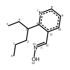 CCCC(CC)c1ncccc1/C=N/O